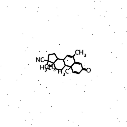 CC1=CC2C(CCC3(C)C2CC[C@]3(C)C#N)C2(C)C=CC(=O)C=C12